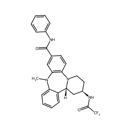 CN1c2ccccc2[C@H]2C[C@H](NC(=O)C(F)(F)F)CCN2c2ccc(C(=O)Nc3ccccc3)cc21